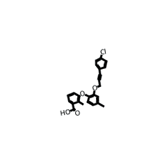 Cc1ccc(Oc2cccc(C(=O)O)c2C)c(OCC#Cc2ccc(Cl)cc2)c1